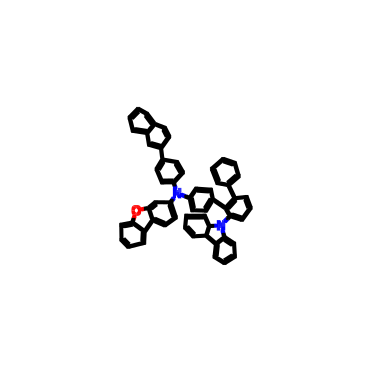 C1=CC2c3ccccc3N(c3cccc(-c4ccccc4)c3-c3ccc(N(c4ccc(-c5ccc6ccccc6c5)cc4)c4ccc5c(c4)oc4ccccc45)cc3)C2C=C1